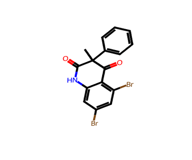 CC1(c2ccccc2)C(=O)Nc2cc(Br)cc(Br)c2C1=O